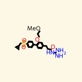 COCCCOc1cc(CCC(=O)NC(=N)N)ccc1-c1ccc(S(=O)(=O)CC2CC2)cc1